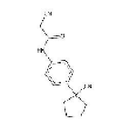 N#CCC(=O)Nc1ccc(C2(C#N)CCCC2)cc1